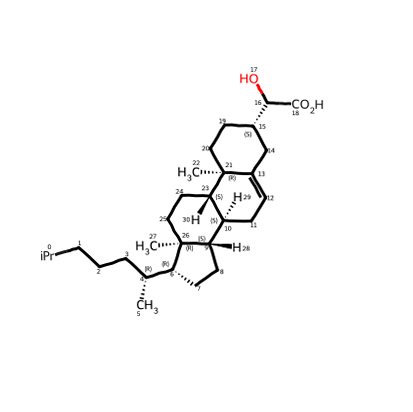 CC(C)CCC[C@@H](C)[C@H]1CC[C@H]2[C@@H]3CC=C4C[C@@H](C(O)C(=O)O)CC[C@]4(C)[C@H]3CC[C@]12C